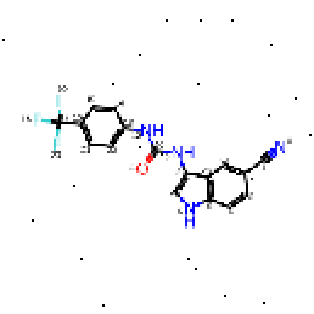 N#Cc1ccc2[nH]cc(NC(=O)Nc3ccc(C(F)(F)F)cc3)c2c1